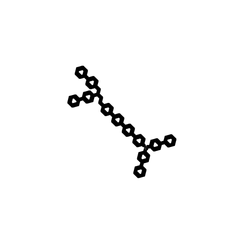 c1ccc(-c2ccc(CC(CCc3ccc(-c4ccc(-c5ccc(-c6ccc(N(c7ccc(-c8ccccc8)cc7)c7ccc(-c8ccccc8)cc7)cc6)cc5)cc4)cc3)c3ccc(-c4ccccc4)cc3)cc2)cc1